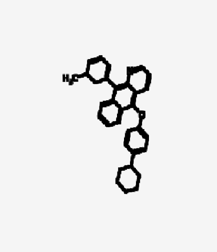 CC1C=CC=C(c2c3ccccc3c(Oc3ccc(C4CCCCC4)cc3)c3cccnc23)C1